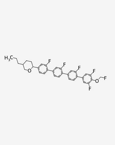 CCCC1CCC(c2ccc(-c3ccc(-c4ccc(-c5cc(F)c(OCF)c(F)c5)c(F)c4)c(F)c3)c(F)c2)OC1